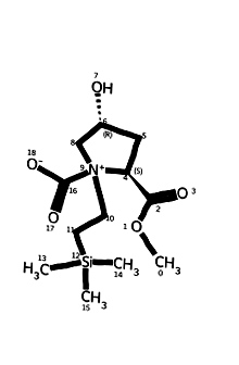 COC(=O)[C@@H]1C[C@@H](O)C[N+]1(CC[Si](C)(C)C)C(=O)[O-]